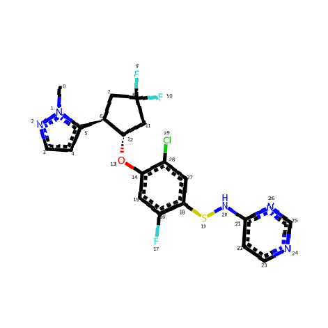 Cn1nccc1[C@H]1CC(F)(F)C[C@@H]1Oc1cc(F)c(SNc2ccncn2)cc1Cl